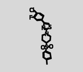 Cc1ccc(S(=O)(=O)C2CCN(c3nc(-c4ccc(Cl)c(F)c4)cs3)CC2)cc1